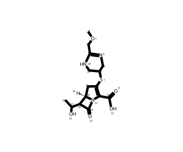 COCC1=NCC(SC2=C(C(=O)O)N3C(=O)C(C(C)O)[C@H]3C2)CN1